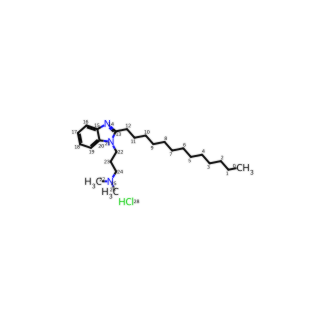 CCCCCCCCCCCCCc1nc2ccccc2n1CCCN(C)C.Cl